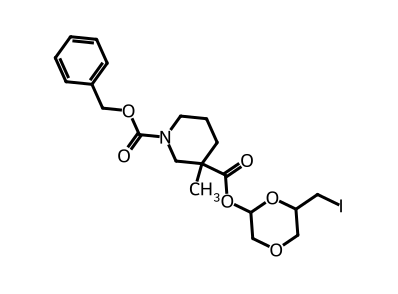 CC1(C(=O)OC2COCC(CI)O2)CCCN(C(=O)OCc2ccccc2)C1